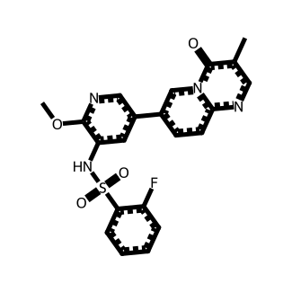 COc1ncc(-c2ccc3ncc(C)c(=O)n3c2)cc1NS(=O)(=O)c1ccccc1F